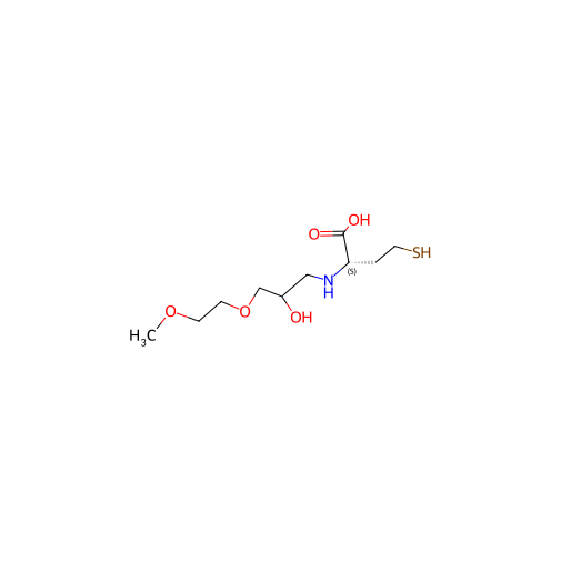 COCCOCC(O)CN[C@@H](CCS)C(=O)O